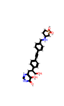 O=c1[nH]cnc(CC(CO)c2ccc(C#Cc3ccc(CNC4CCS(=O)(=O)C4)cc3)cc2)c1O